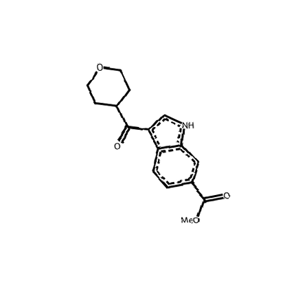 COC(=O)c1ccc2c(C(=O)C3CCOCC3)c[nH]c2c1